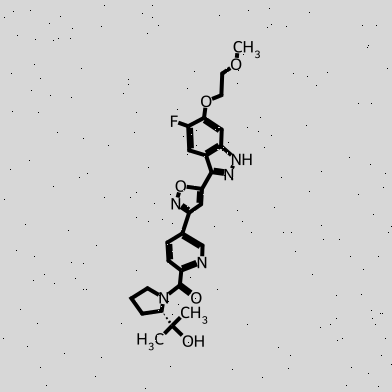 COCCOc1cc2[nH]nc(-c3cc(-c4ccc(C(=O)N5CCC[C@H]5C(C)(C)O)nc4)no3)c2cc1F